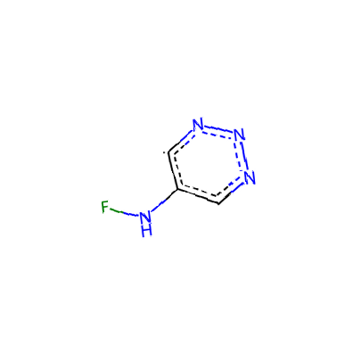 FNc1[c]nnnc1